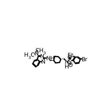 CCc1cc(Br)ccc1S(=O)(=O)NC[C@H]1CC[C@H](CNc2nc(N(C)C)c3ccccc3n2)CC1